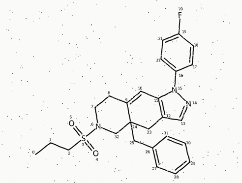 CCCS(=O)(=O)N1CCC2=Cc3c(cnn3-c3ccc(F)cc3)CC2(Cc2ccccc2)C1